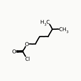 CC(C)CCCOC(=O)Cl